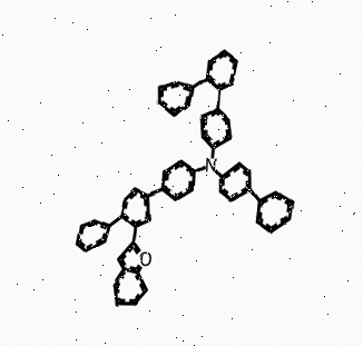 c1ccc(-c2ccc(N(c3ccc(-c4ccc(-c5ccccc5)c(-c5cc6ccccc6o5)c4)cc3)c3ccc(-c4ccccc4-c4ccccc4)cc3)cc2)cc1